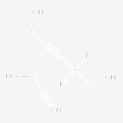 C#CCO.OCC#CC(F)(F)CO